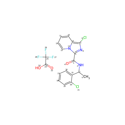 CC(NC(=O)c1nc(Cl)c2ccccn12)c1ccccc1Cl.O=C(O)C(F)(F)F